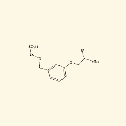 CCCCC(CC)COc1cccc(CSOS(=O)(=O)O)c1